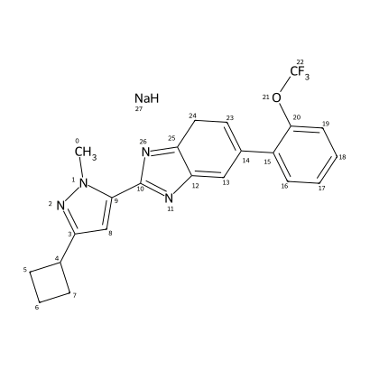 Cn1nc(C2CCC2)cc1C1=NC2=CC(c3ccccc3OC(F)(F)F)=CCC2=N1.[NaH]